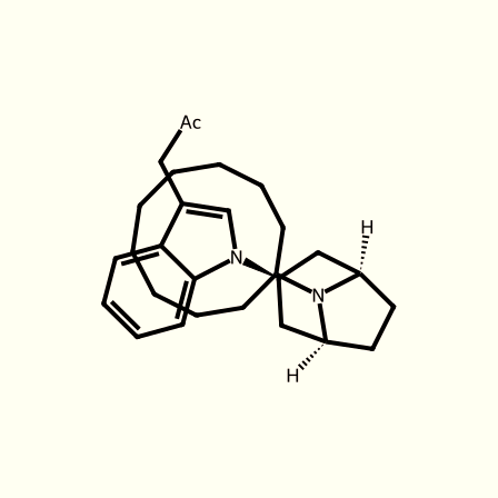 CC(=O)Cc1cn([C@H]2C[C@H]3CC[C@@H](C2)N3C2CCCCCCCCC2)c2ccccc12